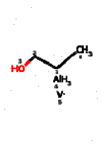 CCCO.[AlH3].[V]